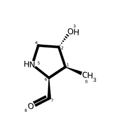 C[C@@H]1[C@@H](O)CN[C@@H]1C=O